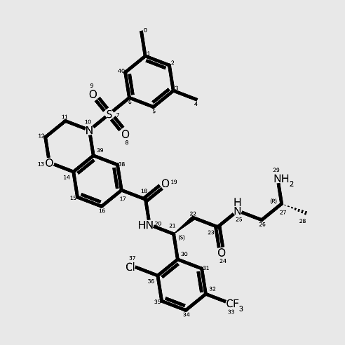 Cc1cc(C)cc(S(=O)(=O)N2CCOc3ccc(C(=O)N[C@@H](CC(=O)NC[C@@H](C)N)c4cc(C(F)(F)F)ccc4Cl)cc32)c1